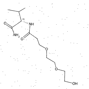 CC(C)[C@H](NC(=O)CCOCCOCCO)C(N)=O